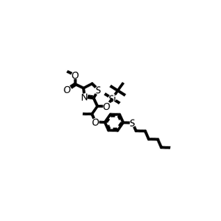 CCCCCCSc1ccc(OC(C)C(O[Si](C)(C)C(C)(C)C)C2=NC(C(=O)OC)CS2)cc1